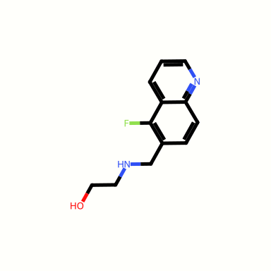 OCCNCc1ccc2ncccc2c1F